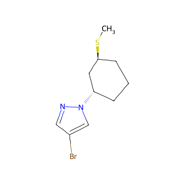 CS[C@H]1CCC[C@H](n2cc(Br)cn2)C1